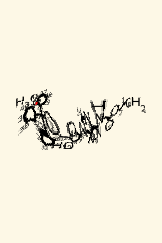 C=CCOC(=O)Nc1ncnc2c1ncn2[C@H]1CC(O)[C@@H](COC(c2ccccc2)(c2ccccc2)c2ccccc2OC)O1